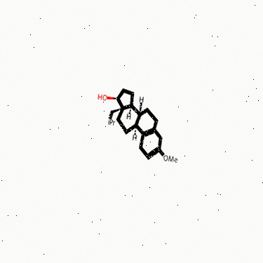 COC1=CCC2=C(CC[C@@H]3[C@@H]2CC[C@]2(CC(C)C)[C@@H](O)CC[C@@H]32)C1